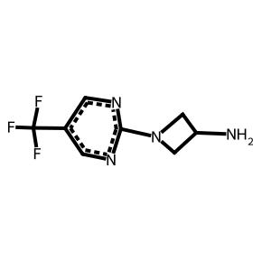 NC1CN(c2ncc(C(F)(F)F)cn2)C1